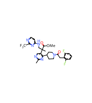 COC(=O)C(C)(CNc1ccnc(C(F)(F)F)n1)c1cnc(C)nc1C1CCN(C(=O)Cc2c(F)cccc2F)CC1